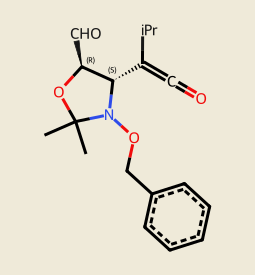 CC(C)C(=C=O)[C@H]1[C@H](C=O)OC(C)(C)N1OCc1ccccc1